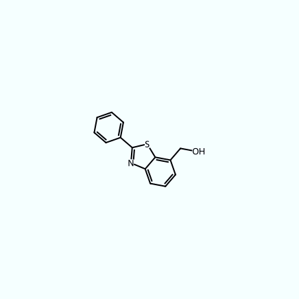 OCc1cccc2nc(-c3ccccc3)sc12